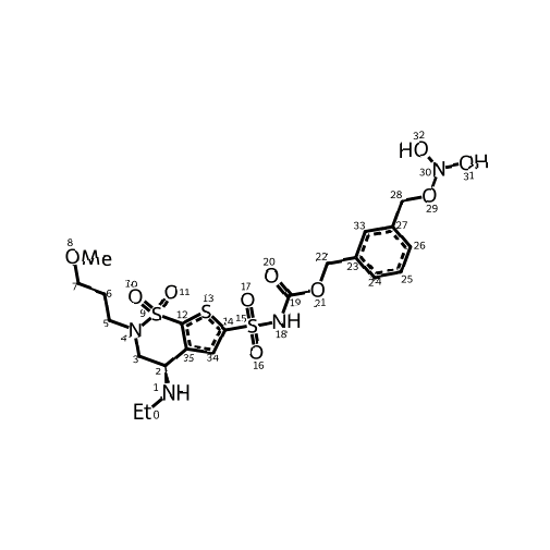 CCN[C@H]1CN(CCCOC)S(=O)(=O)c2sc(S(=O)(=O)NC(=O)OCc3cccc(CON(O)O)c3)cc21